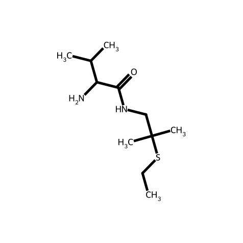 CCSC(C)(C)CNC(=O)C(N)C(C)C